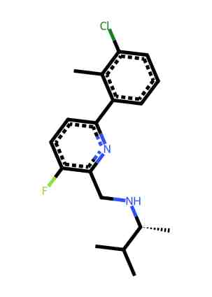 Cc1c(Cl)cccc1-c1ccc(F)c(CN[C@H](C)C(C)C)n1